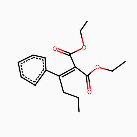 CCCC(=C(C(=O)OCC)C(=O)OCC)c1ccccc1